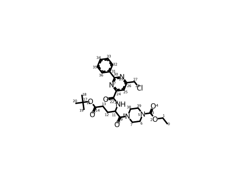 CCOC(=O)N1CCN(C(=O)C(CCC(=O)OC(C)(C)C)NC(=O)c2cc(CCl)nc(-c3ccccc3)n2)CC1